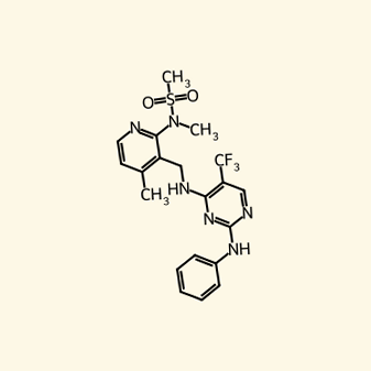 Cc1ccnc(N(C)S(C)(=O)=O)c1CNc1nc(Nc2ccccc2)ncc1C(F)(F)F